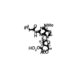 CNc1nc(NC(=O)CC(C)C)nc2c1ncn2[C@@H]1OC(COC(C)=O)[C@@H](C(C(=O)O)C(C)C)[C@@]1(C)F